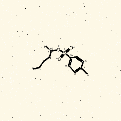 CCCC[C@@H](C)OS(=O)(=O)c1ccc(C)cc1